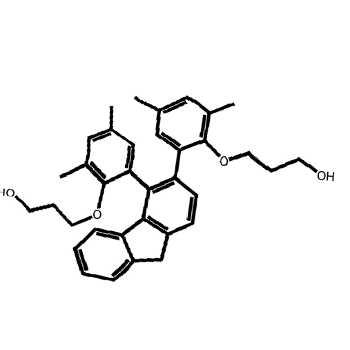 Cc1cc(C)c(OCCCO)c(-c2ccc3c(c2-c2cc(C)cc(C)c2OCCCO)-c2ccccc2C3)c1